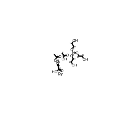 CC(=O)O.CC(=O)O.N#CC(=O)O.OCCON(OCCO)OCCO.[Dy]